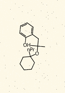 CCCC1(OC(C)(C)Cc2ccccc2O)CCCCC1